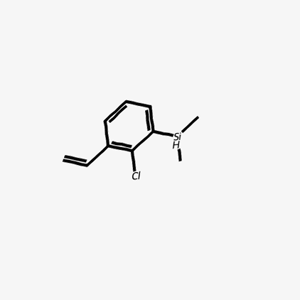 C=Cc1cccc([SiH](C)C)c1Cl